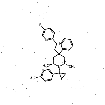 Cc1ccc(C2(N3[C@@H](C)CC(CCc4ccc(F)cn4)(c4ccccn4)C[C@@H]3C)CC2)cn1